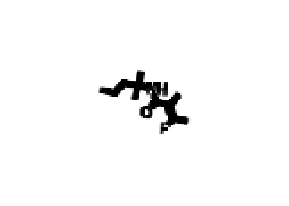 CCCC(C)(C)NC(=O)/C(C)=C(/C)F